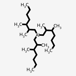 CCCCC(C)C(C)[CH2][Al]([CH2]C(C)C(C)CCCC)[CH2]C(C)C(C)CCCC